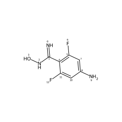 N=C(NO)c1c(F)cc(N)cc1F